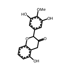 COc1c(O)cc(C2Oc3cccc(O)c3CC2=O)cc1O